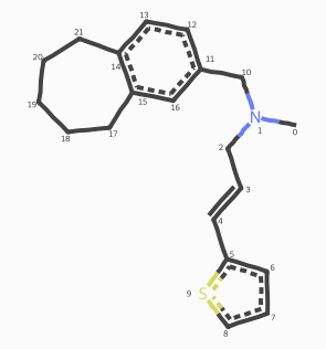 CN(C/C=C/c1cccs1)Cc1ccc2c(c1)CCCCC2